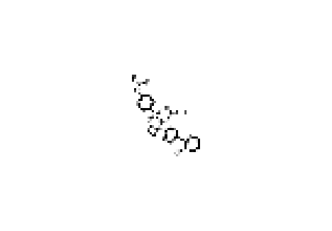 O=C(O)CN(C1(c2ccc(-c3ccccc3Cl)cc2)CCC1)S(=O)(=O)c1ccc(OC(F)F)cc1